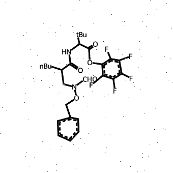 CCCCC(CN(C=O)OCc1ccccc1)C(=O)NC(C(=O)Oc1c(F)c(F)c(F)c(F)c1F)C(C)(C)C